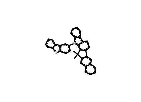 CC1(C)c2cc3ccccc3cc2-c2ccc3c4ccccc4n(-c4ccc5oc6ccccc6c5c4)c3c21